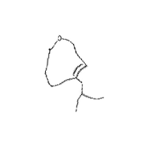 CC(C)C1=CCOCCC1